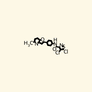 Cc1ccc2oc(-c3ccc(NC(=O)c4nsc(Cl)c4Cl)cc3)cc2n1